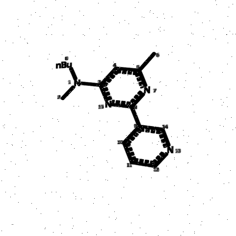 CCCCN(C)c1cc(C)nc(-c2cccnc2)n1